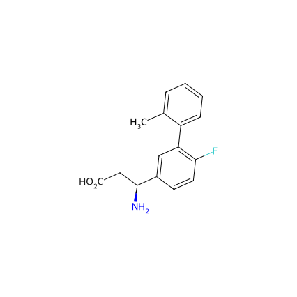 Cc1ccccc1-c1cc([C@@H](N)CC(=O)O)ccc1F